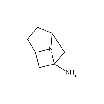 NC12CC3CCC(C1)N32